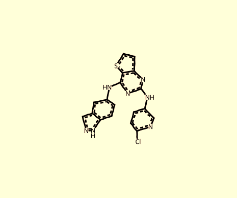 Clc1ccc(Nc2nc(Nc3ccc4[nH]ncc4c3)c3sccc3n2)cn1